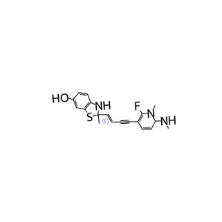 CNC1C=CC(C#C/C=C/C2(C)Nc3ccc(O)cc3S2)=C(F)N1C